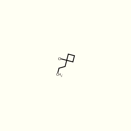 [CH2]CCC1(Cl)CCC1